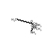 CCCCCCCCCCCC(=O)C(C)O[Si](CCCN)(OCC)OCC